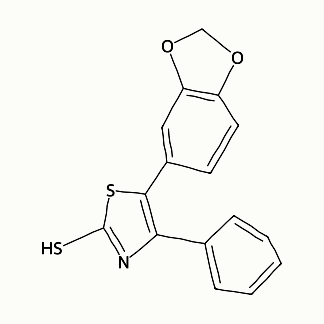 Sc1nc(-c2ccccc2)c(-c2ccc3c(c2)OCO3)s1